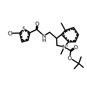 Cc1cccc2c1C(CNC(=O)c1ccc(Cl)s1)C[N+]2(C)C(=O)OC(C)(C)C